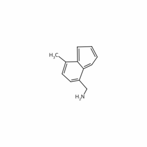 Cc1ccc(CN)c2ccccc12